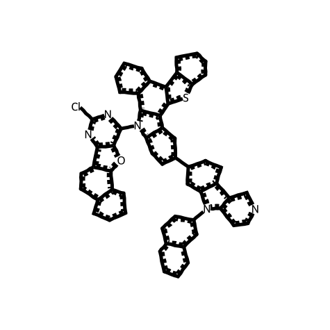 Clc1nc(-n2c3ccc(-c4ccc5c6cnccc6n(-c6ccc7ccccc7c6)c5c4)cc3c3c4sc5ccccc5c4c4ccccc4c32)c2oc3c4ccccc4ccc3c2n1